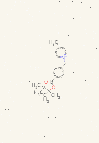 Cc1cc[n+](Cc2ccc(B3OC(C)(C)C(C)(C)O3)cc2)cc1